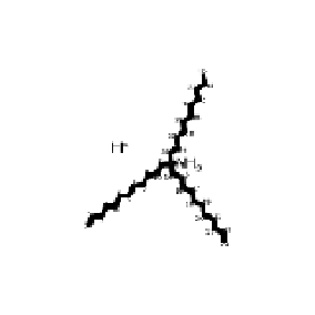 CCCCCCCCCCCCC(N)(CCCCCCCCCCC)CCCCCCCCCCC.I